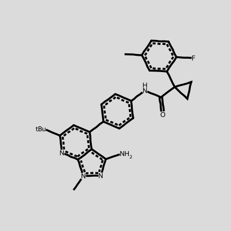 Cc1ccc(F)c(C2(C(=O)Nc3ccc(-c4cc(C(C)(C)C)nc5c4c(N)nn5C)cc3)CC2)c1